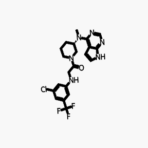 CN(c1ncnc2[nH]ccc12)[C@H]1CCCN(C(=O)CNc2cc(Cl)cc(C(F)(F)F)c2)C1